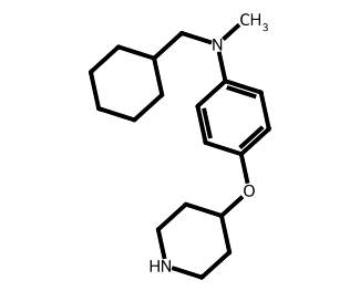 CN(CC1CCCCC1)c1ccc(OC2CCNCC2)cc1